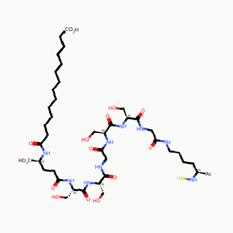 CC(=O)[C@H](CCCCNC(=O)CNC(=O)[C@H](CO)NC(=O)[C@H](CO)NC(=O)CNC(=O)[C@H](CO)NC(=O)[C@H](CO)NC(=O)CC[C@H](NC(=O)CCCCCCCCCCCCC(=O)O)C(=O)O)NS